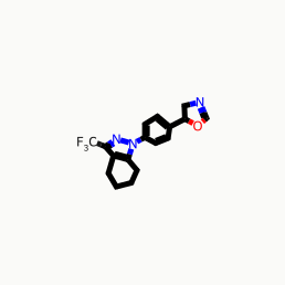 FC(F)(F)c1nn(-c2ccc(C3CN=CO3)cc2)c2c1CCCC2